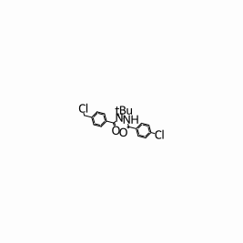 CC(C)(C)N(NC(=O)c1ccc(Cl)cc1)C(=O)c1ccc(CCl)cc1